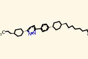 CCCCCCCC[C@H]1CC[C@H](c2ccc(-c3ccc([C@H]4CC[C@H](CCC)CC4)nn3)cc2)CC1